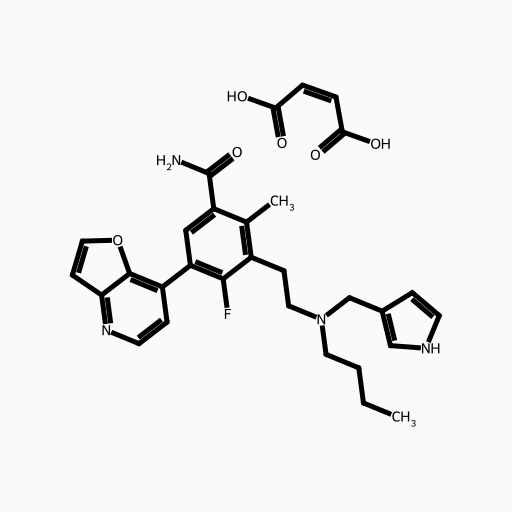 CCCCN(CCc1c(C)c(C(N)=O)cc(-c2ccnc3ccoc23)c1F)Cc1cc[nH]c1.O=C(O)/C=C\C(=O)O